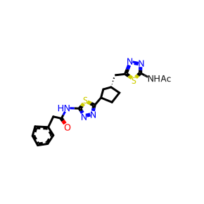 CC(=O)Nc1nnc(C[C@@H]2CCC(c3nnc(NC(=O)Cc4ccccc4)s3)C2)s1